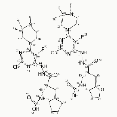 CN1CCN(c2nc(Cl)nc(NNC(=O)[C@@H](CNC(=O)O)CC3CCCC3)c2F)CC1(C)C.CN1CCN(c2nc(Cl)nc(NNC(=O)[C@@H](CNC(=O)O)CC3CCCC3)c2F)CC1(C)C